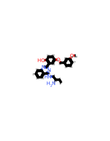 CC[C@@H](N)CNc1nc(-c2cc(OCc3cccc(OC)c3)ccc2O)nc2ccccc12